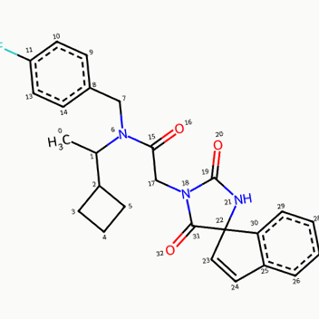 CC(C1CCC1)N(Cc1ccc(F)cc1)C(=O)CN1C(=O)NC2(C=Cc3ccccc32)C1=O